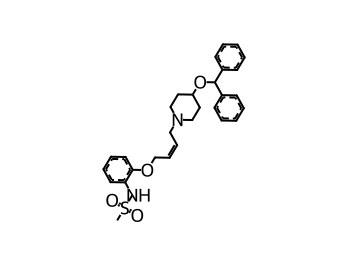 CS(=O)(=O)Nc1ccccc1OC/C=C\CN1CCC(OC(c2ccccc2)c2ccccc2)CC1